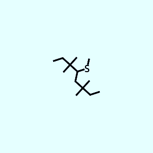 CCC(C)(C)CC(SC)C(C)(C)CC